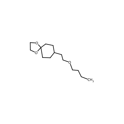 CCCCOCCC1CCC2(CC1)OCCO2